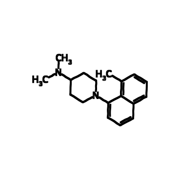 Cc1cccc2cccc(N3CCC(N(C)C)CC3)c12